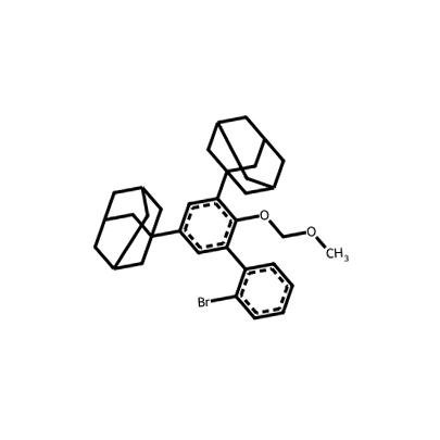 COCOc1c(-c2ccccc2Br)cc(C23CC4CC(CC(C4)C2)C3)cc1C12CC3CC(CC(C3)C1)C2